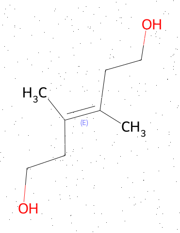 C/C(CCO)=C(/C)CCO